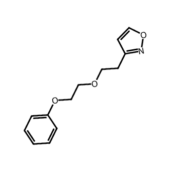 c1ccc(OCCOCCc2ccon2)cc1